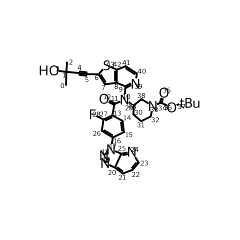 CC(C)(O)C#Cc1cc2c(N(C(=O)c3ccc(-n4nnc5cccnc54)cc3F)[C@@H]3CCCN(C(=O)OC(C)(C)C)C3)nccc2s1